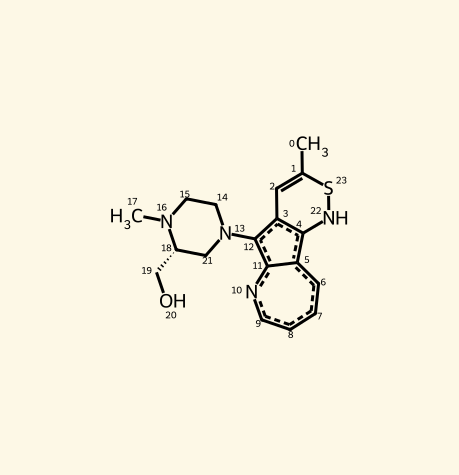 CC1=Cc2c(c3ccccnc-3c2N2CCN(C)[C@@H](CO)C2)NS1